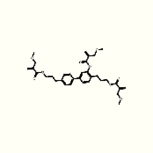 C=C(COC)C(=O)OCCCc1ccc(-c2ccc(CCCOC(=O)C(=C)COC)c(OC(=O)C(=C)COC)c2)cc1